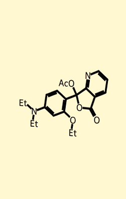 CCOc1cc(N(CC)CC)ccc1C1(OC(C)=O)OC(=O)c2cccnc21